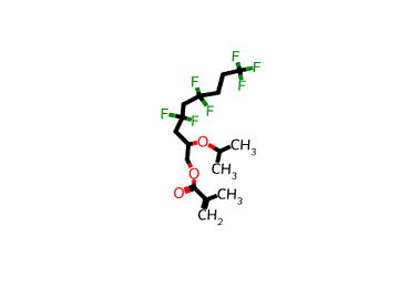 C=C(C)C(=O)OCC(CC(F)(F)CC(F)(F)CCC(F)(F)F)OC(C)C